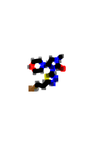 CN1CC(N2CCOCC2)N(c2nnc(CCBr)s2)C1=O